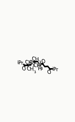 CC(C)C(=O)CCC(=O)NCC(C)(C)OCC(C)(C)C(=O)C(C)C